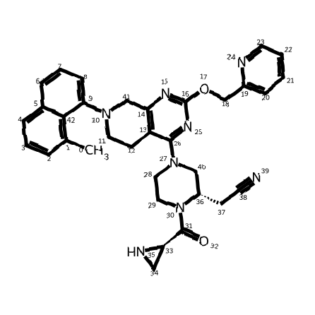 Cc1cccc2cccc(N3CCc4c(nc(OCc5ccccn5)nc4N4CCN(C(=O)[C@H]5CN5)[C@@H](CC#N)C4)C3)c12